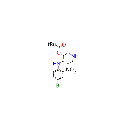 CC(C)(C)C(=O)OC1CNCCC1Nc1ccc(Br)cc1[N+](=O)[O-]